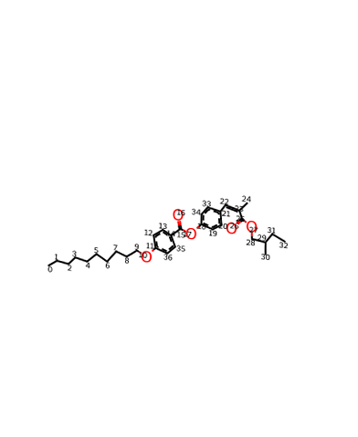 CCCCCCCCCCOc1ccc(C(=O)Oc2ccc(C=C(C)C(=O)OCC(C)CC)cc2)cc1